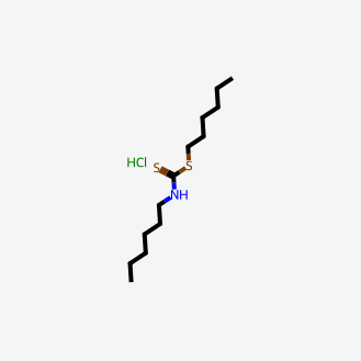 CCCCCCNC(=S)SCCCCCC.Cl